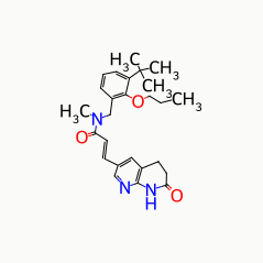 CCCOc1c(CN(C)C(=O)C=Cc2cnc3c(c2)CCC(=O)N3)cccc1C(C)(C)C